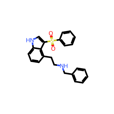 O=S(=O)(c1ccccc1)c1c[nH]c2cccc(CCNCc3ccccc3)c12